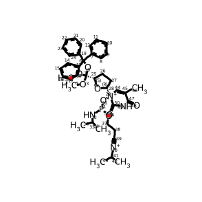 COC(OC)(OC(c1ccccc1)(c1ccccc1)c1ccccc1)[C@@H]1CC[C@H]([N+]2(OP(NC(C)C)OCCC#[N+]C(C)C)C=C(C)C(=O)NC2=O)O1